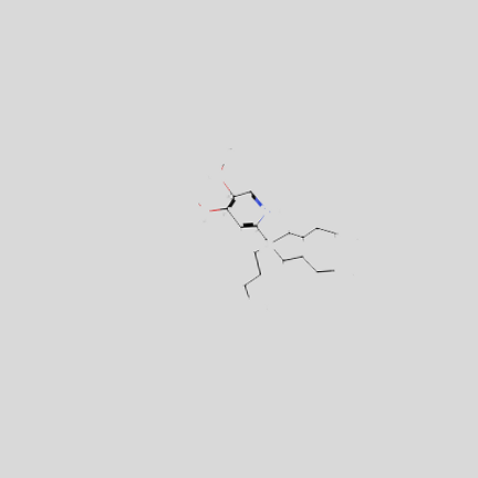 CCC[CH2][Sn]([CH2]CCC)([CH2]CCC)[c]1cc(OC)c(OC)cn1